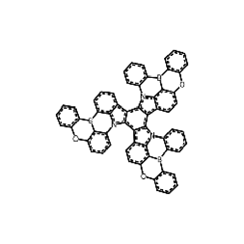 c1ccc2c(c1)Oc1cccc3c1B2c1cccc2c4c(c5c6ccc7c8c6n(c5c5c6ccc9c%10c6n(c45)-c4ccccc4B%10c4ccccc4O9)-c4ccccc4B8c4ccccc4O7)n-3c12